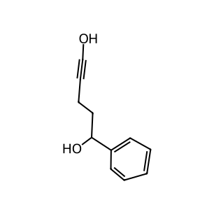 OC#CCCC(O)c1ccccc1